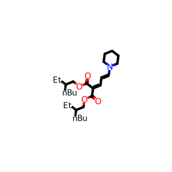 CCCCC(CC)COC(=O)C(=C/C=C/N1CCCCC1)C(=O)OCC(CC)CCCC